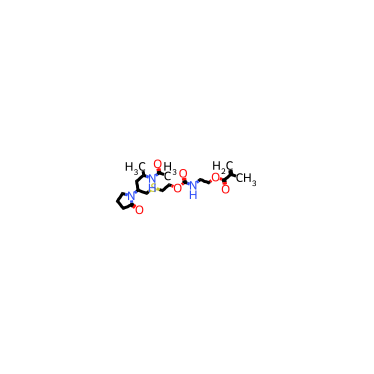 C=C(C)C(=O)OCCNC(=O)OCCSCC(CC(C)NC(C)=O)N1CCCC1=O